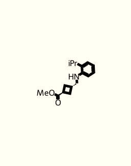 COC(=O)[C@H]1C[C@H](CNc2ccccc2C(C)C)C1